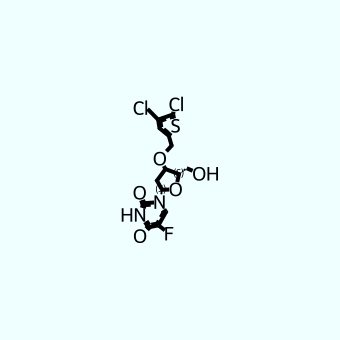 O=c1[nH]c(=O)n([C@@H]2CC(OCc3cc(Cl)c(Cl)s3)[C@H](CO)O2)cc1F